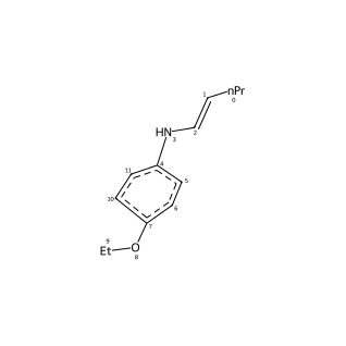 CCCC=CNc1ccc(OCC)cc1